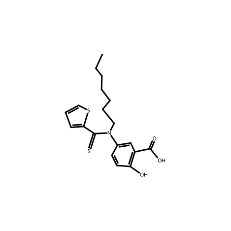 CCCCCCCN(C(=S)c1cccs1)c1ccc(O)c(C(=O)O)c1